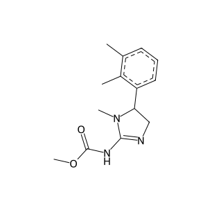 COC(=O)NC1=NCC(c2cccc(C)c2C)N1C